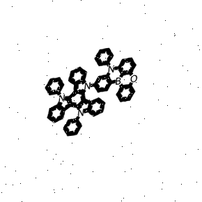 c1ccc(N2c3cc(-n4c5ccccc5c5c6c(c7ccccc7n6-c6ccccc6)c6c(c7ccccc7n6-c6ccccc6)c54)ccc3B3c4ccccc4Oc4cccc2c43)cc1